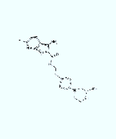 Cc1ccc2c(N)c(C(=O)NCCc3ccc(N4CCNC(C(C)C)C4)cc3)sc2n1